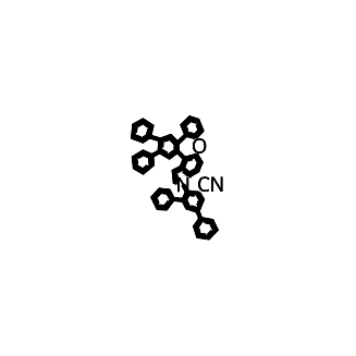 N#Cc1cc(-c2ccccc2)cc(-c2ccccc2)c1-n1ccc2c3c(ccc21)Oc1ccccc1-c1cc(-c2ccccc2)c(-c2ccccc2)cc1-3